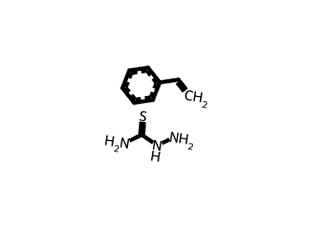 C=Cc1ccccc1.NNC(N)=S